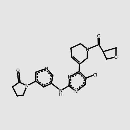 O=C(C1COC1)N1CCC=C(c2nc(Nc3cncc(N4CCCC4=O)c3)ncc2Cl)C1